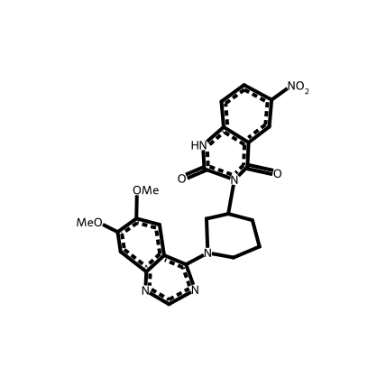 COc1cc2ncnc(N3CCCC(n4c(=O)[nH]c5ccc([N+](=O)[O-])cc5c4=O)C3)c2cc1OC